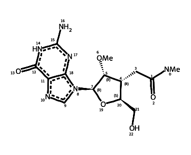 CNC(=O)C[C@H]1[C@@H](OC)[C@H](n2cnc3c(=O)[nH]c(N)nc32)O[C@@H]1CO